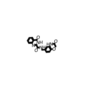 O=C1COc2ccc(CNC(=O)c3nc4ccccc4c(=O)[nH]3)cc2N1